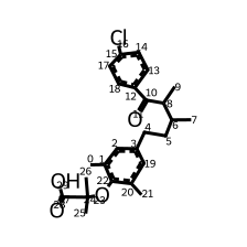 Cc1cc(CCC(C)C(C)C(=O)c2ccc(Cl)cc2)cc(C)c1OC(C)(C)C(=O)O